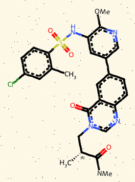 CNC(=O)[C@H](C)Cn1cnc2ccc(-c3cnc(OC)c(NS(=O)(=O)c4ccc(Cl)cc4C)c3)cc2c1=O